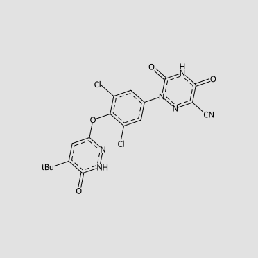 CC(C)(C)c1cc(Oc2c(Cl)cc(-n3nc(C#N)c(=O)[nH]c3=O)cc2Cl)n[nH]c1=O